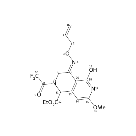 C=CCON=C1CN(C(=O)C(F)(F)F)C(C(=O)OCC)c2cc(OC)nc(O)c21